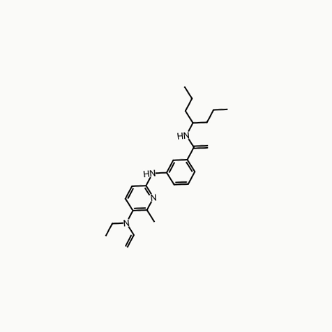 C=CN(CC)c1ccc(Nc2cccc(C(=C)NC(CCC)CCC)c2)nc1C